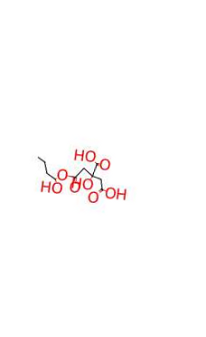 CCCC(O)OC(=O)CC(O)(CC(=O)O)C(=O)O